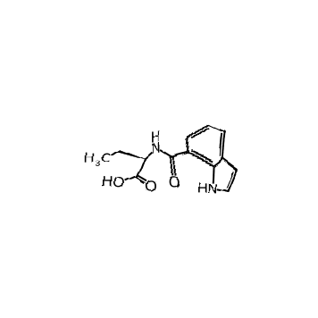 CC[C@@H](NC(=O)c1cccc2cc[nH]c12)C(=O)O